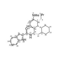 CNC(=O)[C@H](CC(C)C)C[C@H](O)[C@H](CC1CCCCC1)NC(=O)c1cc2ccncc2[nH]1